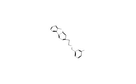 Fc1cccc(CNCCc2ccc3c(c2)[nH]c2ccccc23)c1